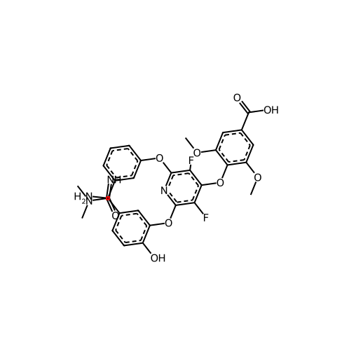 COc1cc(C(=O)O)cc(OC)c1Oc1c(F)c(Oc2cccc(C(=O)N(C)C)c2)nc(Oc2cc(C(=N)N)ccc2O)c1F